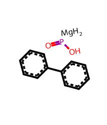 O=PO.[MgH2].c1ccc(-c2ccccc2)cc1